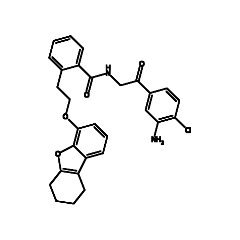 Nc1cc(C(=O)CNC(=O)c2ccccc2CCOc2cccc3c4c(oc23)CCCC4)ccc1Cl